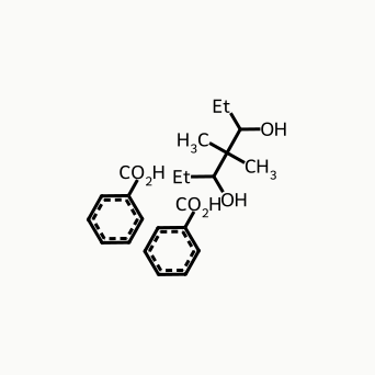 CCC(O)C(C)(C)C(O)CC.O=C(O)c1ccccc1.O=C(O)c1ccccc1